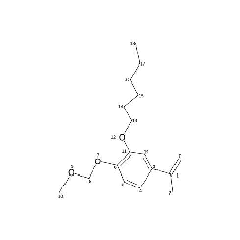 C=C(C)c1ccc(OCOC)c(OCCCCCC)c1